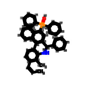 C/C=C\c1ccc2c(c1C)NC(c1ccccc1)c1cc(P(=O)(c3ccccc3)c3ccccc3)c3ccccc3c1-2